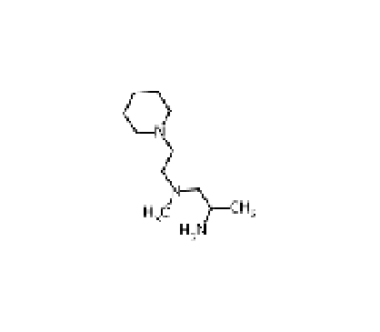 CC(N)CN(C)CCN1CCCCC1